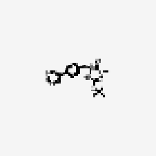 COC(=O)[C@H](Cc1ccc(-c2cncnc2)cc1)NC(=O)OC(C)(C)C